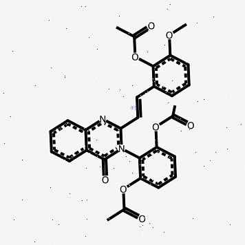 COc1cccc(/C=C/c2nc3ccccc3c(=O)n2-c2c(OC(C)=O)cccc2OC(C)=O)c1OC(C)=O